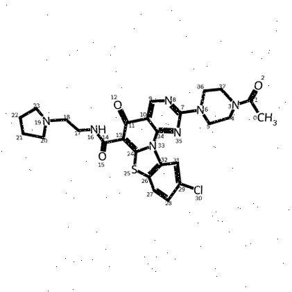 CC(=O)N1CCN(c2ncc3c(=O)c(C(=O)NCCN4CCCC4)c4sc5ccc(Cl)cc5n4c3n2)CC1